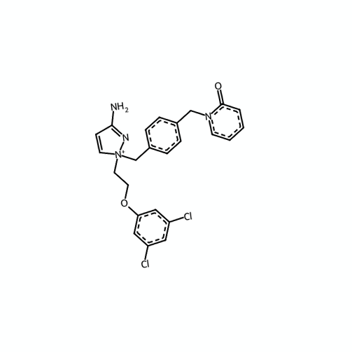 NC1=N[N+](CCOc2cc(Cl)cc(Cl)c2)(Cc2ccc(Cn3ccccc3=O)cc2)C=C1